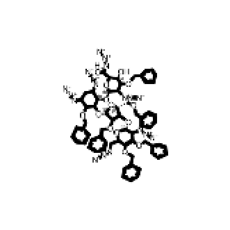 CC(N=[N+]=[N-])C1O[C@H](O[C@@H]2C(N=[N+]=[N-])CC(N=[N+]=[N-])C(OCc3ccccc3)C2O[C@@H]2O[C@H](COCc3ccccc3)C(O[C@H]3OC(CN=[N+]=[N-])C(OCc4ccccc4)=C(OCc4ccccc4)C3N=[N+]=[N-])C2OCc2ccccc2)C(N=[N+]=[N-])C(OCc2ccccc2)[C@@H]1O